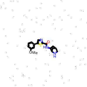 COc1cccc(-c2cnc(C(=O)NC3CC4CNC3C4)s2)c1